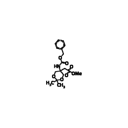 COS(=O)(=O)CC1(NC(=O)OCc2ccccc2)COC(C)(C)OC1